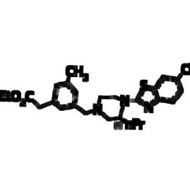 CCC[C@H]1CN(Cc2cc(C)cc(CC(=O)OCC)c2)CCN1c1nc2ccc(Cl)cc2s1